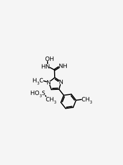 CS(=O)(=O)O.Cc1cccc(-c2cn(C)c(C(=N)NO)n2)c1